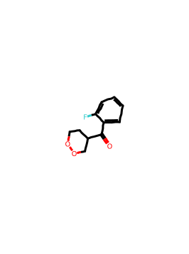 O=C(c1ccccc1F)C1CCOOC1